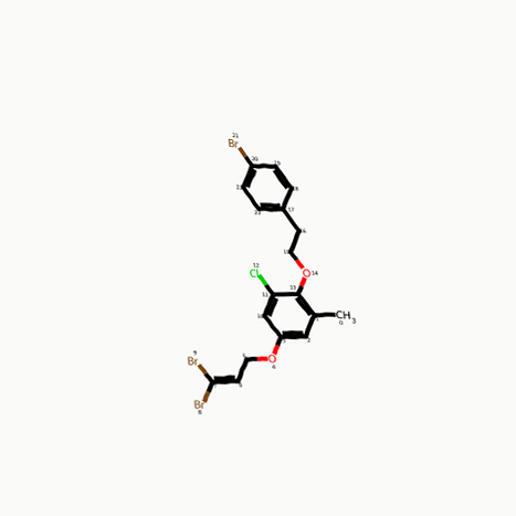 Cc1cc(OCC=C(Br)Br)cc(Cl)c1OCCc1ccc(Br)cc1